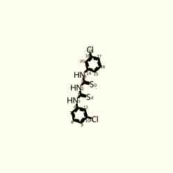 S=C(NC(=S)Nc1cccc(Cl)c1)Nc1cccc(Cl)c1